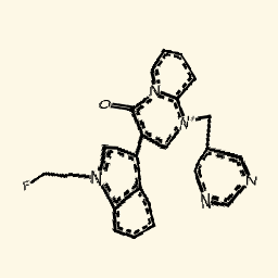 O=c1c(-c2cn(CCF)c3ccccc23)c[n+](Cc2cncnc2)c2ccccn12